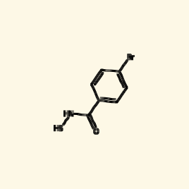 O=C(NS)c1ccc(Br)cc1